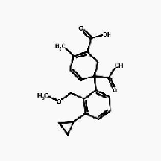 COCc1c(C2CC2)cccc1C1(C(=O)O)C=CC(C)=C(C(=O)O)C1